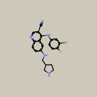 N#Cc1cnc2ccc(NCC3CCNC3)cc2c1Nc1ccc(F)c(Cl)c1